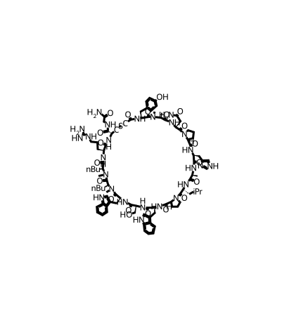 CCCC[C@H]1C(=O)N(C)[C@@H](CCCC)C(=O)N[C@@H](CCCNC(=N)N)C(=O)N[C@H](C(=O)NCC(N)=O)CSCC(=O)N[C@@H](Cc2ccc(O)cc2)C(=O)N(C)[C@@H](C)C(=O)N[C@@H](CC(N)=O)C(=O)N2CCC[C@H]2C(=O)N[C@@H](Cc2c[nH]cn2)C(=O)N[C@@H](C)C(=O)N[C@H](CC(C)C)C(=O)N2CCC[C@H]2C(=O)N[C@@H](Cc2c[nH]c3ccccc23)C(=O)N[C@@H](CO)C(=O)N[C@@H](Cc2c[nH]c3ccccc23)C(=O)N1C